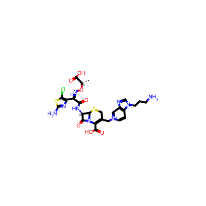 C[C@H](O/N=C(\C(=O)N[C@@H]1C(=O)N2C(C(=O)O)=C(C[n+]3ccc4c(c3)ncn4CCCN)CSC12)c1nc(N)sc1Cl)C(=O)O